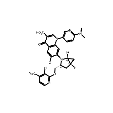 COc1ccnc(OC[C@H]2C[C@H]3C[C@H]3N2c2cc3c(cc2Cl)c(=O)c(C(=O)O)cn3-c2ccc(N(C)C)nc2)c1Cl